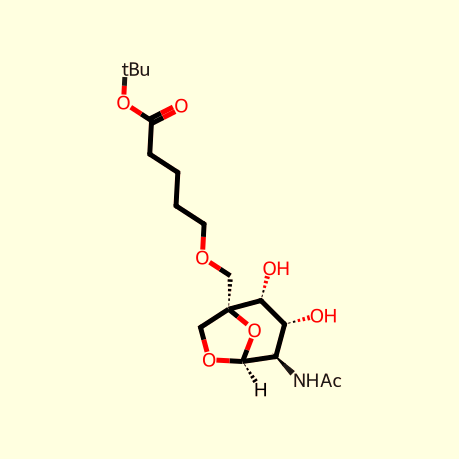 CC(=O)N[C@H]1[C@H]2OC[C@](COCCCCC(=O)OC(C)(C)C)(O2)[C@H](O)[C@@H]1O